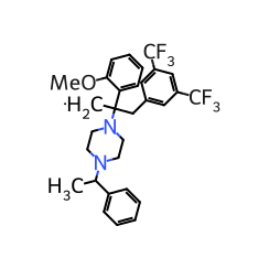 [CH2]C(Cc1cc(C(F)(F)F)cc(C(F)(F)F)c1)(c1ccccc1OC)N1CCN(C(C)c2ccccc2)CC1